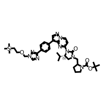 CC(C)[C@H]1CN(CC2CCCN2C(=O)OC(C)(C)C)C(=O)N1c1ccn2ncc(-c3ccc(-c4ncn(COCC[Si](C)(C)C)n4)cc3)c2n1